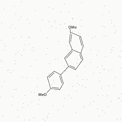 COc1ccc(-c2ccc3ccc(OC)cc3c2)cc1